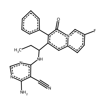 CCC(Nc1ncnc(N)c1C#N)c1cc2ccc(F)cn2c(=O)c1-c1ccccc1